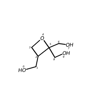 OCC1COC1(CO)CO